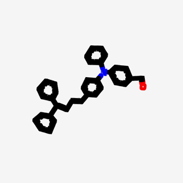 O=Cc1ccc(N(c2ccccc2)c2ccc(C=CC=C(c3ccccc3)c3ccccc3)cc2)cc1